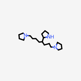 C(CCN1CCCC1)C[C](CCCN1CCCC1)C1CCCN1